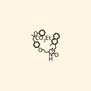 CCOC(=O)C(C)(Cc1ccc(OCCC2CN(Cc3cc4ccccc4cc3C)C(=O)N2)cc1)Oc1ccccc1